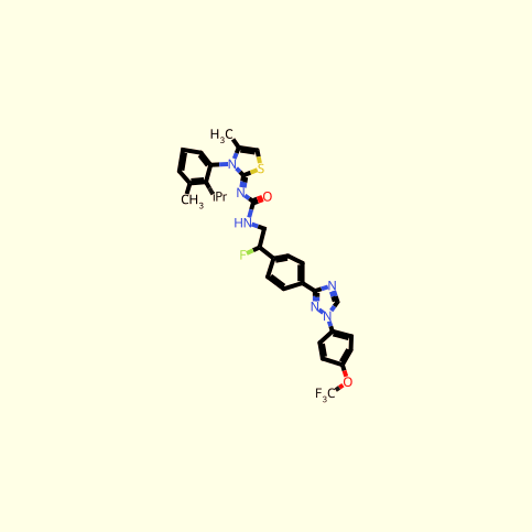 Cc1cccc(-n2c(C)cs/c2=N\C(=O)NCC(F)c2ccc(-c3ncn(-c4ccc(OC(F)(F)F)cc4)n3)cc2)c1C(C)C